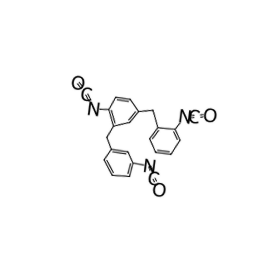 O=C=Nc1cccc(Cc2cc(Cc3ccccc3N=C=O)ccc2N=C=O)c1